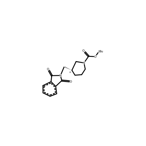 CC(C)(C)OC(=O)N1CCC[C@H](CN2C(=O)c3ccccc3C2=O)C1